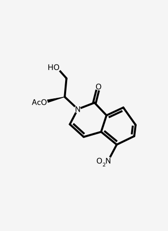 CC(=O)O[C@@H](CO)n1ccc2c([N+](=O)[O-])cccc2c1=O